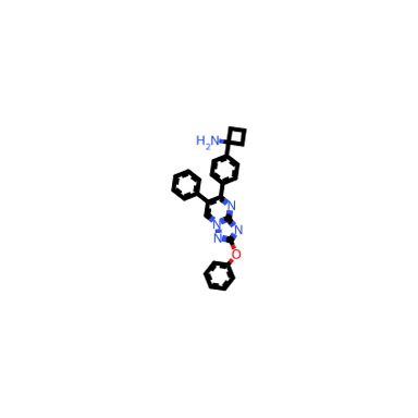 NC1(c2ccc(-c3nc4nc(Oc5ccccc5)nn4cc3-c3ccccc3)cc2)CCC1